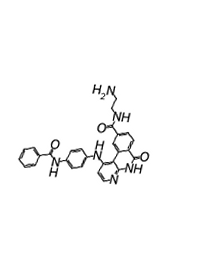 NCCNC(=O)c1ccc2c(=O)[nH]c3nccc(Nc4ccc(NC(=O)c5ccccc5)cc4)c3c2c1